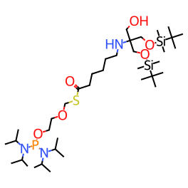 CC(C)N(C(C)C)P(OCCOCSC(=O)CCCCCNC(CO)(CO[Si](C)(C)C(C)(C)C)CO[Si](C)(C)C(C)(C)C)N(C(C)C)C(C)C